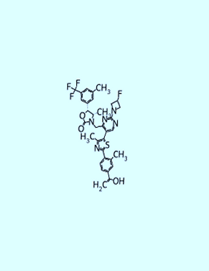 C=C(O)c1ccc(-c2nc(C)c(-c3cnc(N4CC(F)C4)nc3CN3C(=O)O[C@H](c4cc(C)cc(C(F)(F)F)c4)[C@@H]3C)s2)c(C)c1